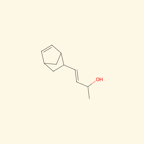 CC(O)/C=C/C1CC2C=CC1C2